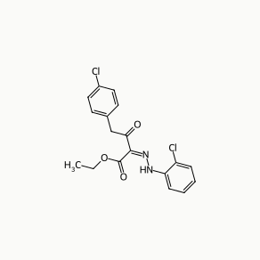 CCOC(=O)C(=NNc1ccccc1Cl)C(=O)Cc1ccc(Cl)cc1